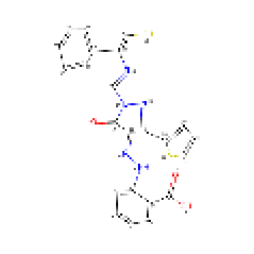 O=C(O)c1ccccc1N/N=C1/C(=O)N(/C=N/C(=C\S)c2ccccc2)N=C1c1cccs1